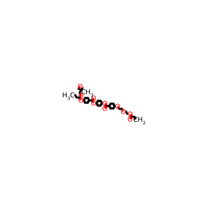 C=CC(=O)OCCOCCOc1ccc(C(=O)Oc2ccc(OC(=O)c3ccc(OC(CCC)OCC4(C)COC4)cc3)cc2)cc1